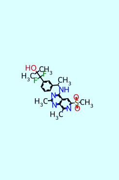 Cc1nc(N[C@H](C)c2cccc(C(F)(F)C(C)(C)O)c2)c2cc(S(C)(=O)=O)nc(C)c2n1